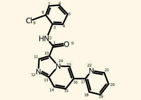 O=C(Nc1ccccc1Cl)c1cnc2ccc(-c3ccccn3)cn12